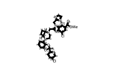 CCn1ccnc1Cn1c(CN2CCN(c3cccc4c3O[C@](C)(c3ccc(Cl)cn3)O4)[C@@H]3CC[C@H]32)nc2c(Cl)cc(C(=O)OC)cc21